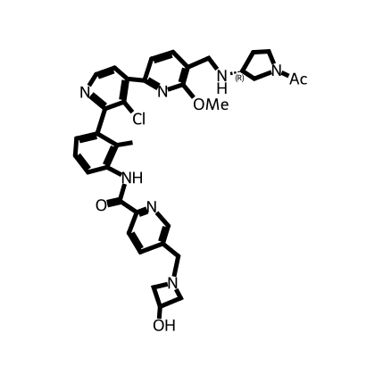 COc1nc(-c2ccnc(-c3cccc(NC(=O)c4ccc(CN5CC(O)C5)cn4)c3C)c2Cl)ccc1CN[C@@H]1CCN(C(C)=O)C1